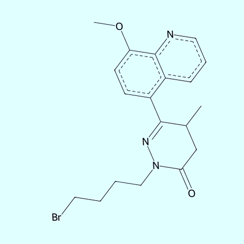 COc1ccc(C2=NN(CCCCBr)C(=O)CC2C)c2cccnc12